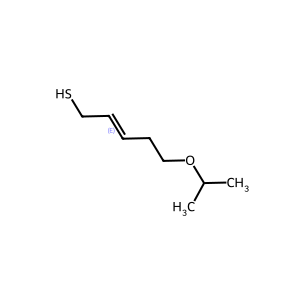 CC(C)OCC/C=C/CS